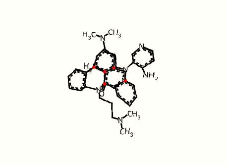 CN(C)CCCN(c1cnccc1N)c1ccccc1C(=O)c1ccccc1-c1ccccc1N(CCCN(C)C)c1cnccc1N